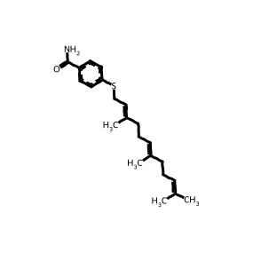 CC(C)=CCC/C(C)=C/CC/C(C)=C/CSc1ccc(C(N)=O)cc1